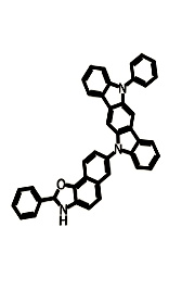 c1ccc(C2Nc3ccc4cc(-n5c6ccccc6c6cc7c(cc65)c5ccccc5n7-c5ccccc5)ccc4c3O2)cc1